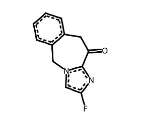 O=C1Cc2ccccc2Cn2cc(F)nc21